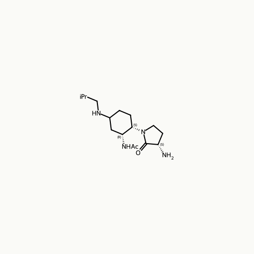 CC(=O)N[C@@H]1CC(NCC(C)C)CC[C@@H]1N1CC[C@H](N)C1=O